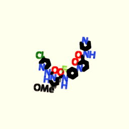 CO[C@@H]1C[C@H](C(=O)Nc2ccc(-n3cccc(C(=O)Nc4ccncc4)c3=O)cc2F)N(C(=O)Nc2ccc(Cl)cn2)C1